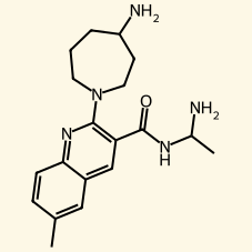 Cc1ccc2nc(N3CCCC(N)CC3)c(C(=O)NC(C)N)cc2c1